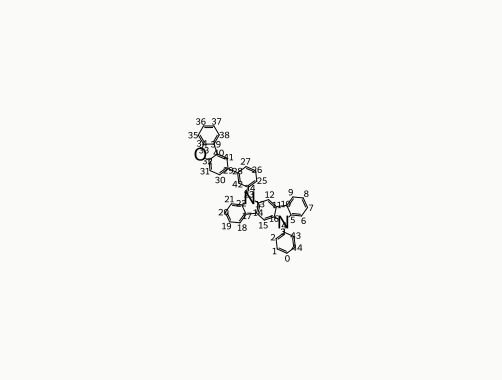 c1ccc(-n2c3ccccc3c3cc4c(cc32)c2ccccc2n4-c2cccc(-c3ccc4oc5ccccc5c4c3)c2)cc1